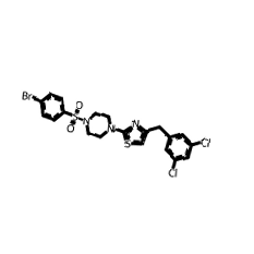 O=S(=O)(c1ccc(Br)cc1)N1CCN(c2nc(Cc3cc(Cl)cc(Cl)c3)cs2)CC1